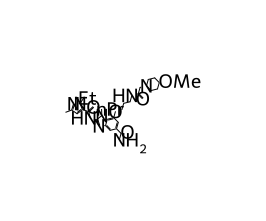 CCCn1c(NC(=O)c2cc(C)nn2CC)nc2cc(C(N)=O)cc(OCCCNC(=O)CN3CCC(OC)CC3)c21